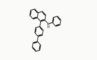 c1ccc(Nc2ccc3ccccc3c2-c2ccc(-c3ccccc3)cc2)cc1